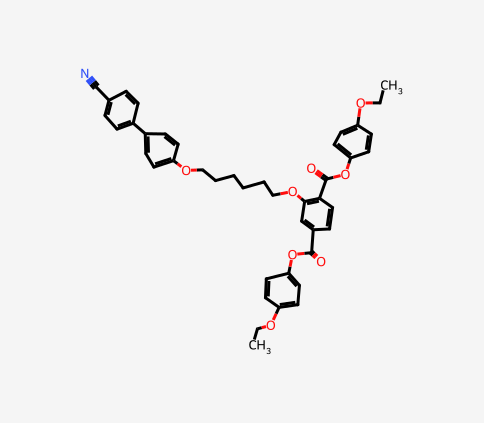 CCOc1ccc(OC(=O)c2ccc(C(=O)Oc3ccc(OCC)cc3)c(OCCCCCCOc3ccc(-c4ccc(C#N)cc4)cc3)c2)cc1